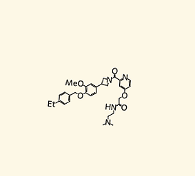 CCc1ccc(COc2ccc(C3CN(C(=O)c4cc(OCC(=O)NCCN(C)C)ccn4)C3)cc2OC)cc1